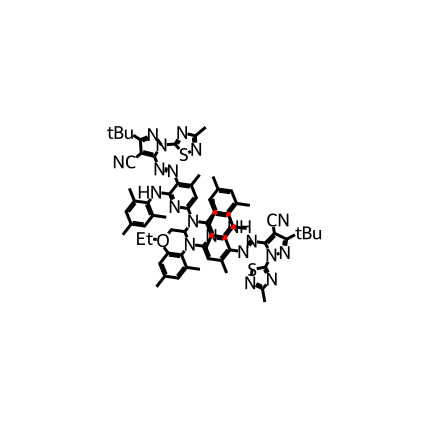 CCOCC(N(c1cc(C)c(N=Nc2c(C#N)c(C(C)(C)C)nn2-c2nc(C)ns2)c(Nc2c(C)cc(C)cc2C)n1)c1c(C)cc(C)cc1C)N(c1cc(C)c(N=Nc2c(C#N)c(C(C)(C)C)nn2-c2nc(C)ns2)c(Nc2c(C)cc(C)cc2C)n1)c1c(C)cc(C)cc1C